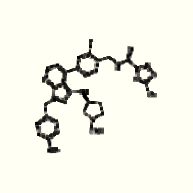 COc1ccc(Cn2nc(N[C@H]3CCN(C(=O)O)C3)c3c(-c4ccc(CNC(=O)c5noc(C(C)(C)C)n5)c(F)c4)ccnc32)cc1